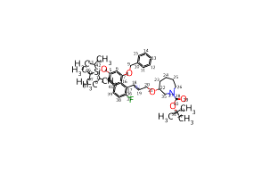 CC(C)[Si](Oc1cc(OCc2ccccc2)c2c(/C=C/COC3CCCCN(C(=O)OC(C)(C)C)C3)c(F)ccc2c1)(C(C)C)C(C)C